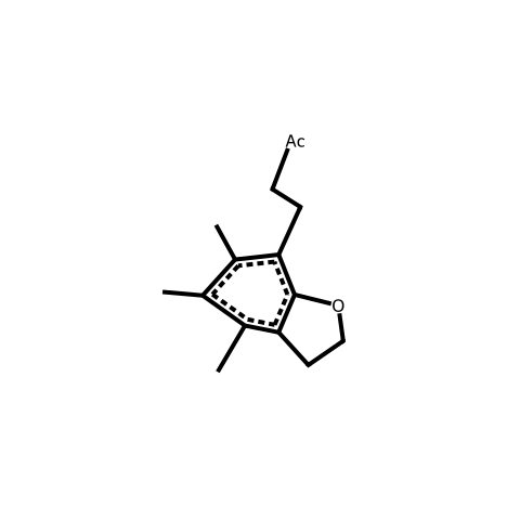 CC(=O)CCc1c(C)c(C)c(C)c2c1OCC2